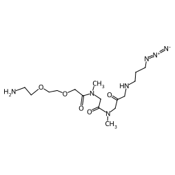 CN(CC(=O)CNCCCN=[N+]=[N-])C(=O)CN(C)C(=O)COCCOCCN